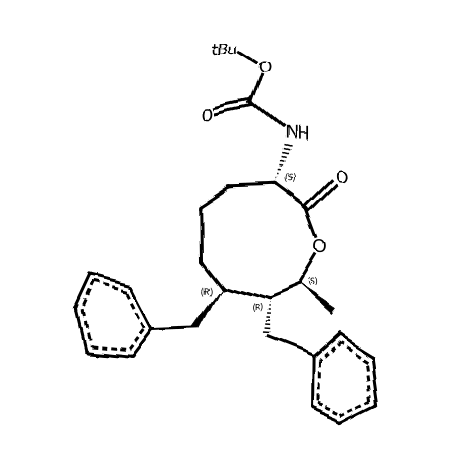 C[C@@H]1OC(=O)[C@@H](NC(=O)OC(C)(C)C)CCC[C@H](Cc2ccccc2)[C@H]1Cc1ccccc1